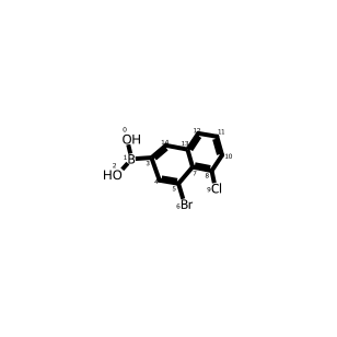 OB(O)c1cc(Br)c2c(Cl)cccc2c1